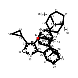 COC(=O)c1ccnc(N2[C@@H]3CC[C@H]2C[C@H](OCc2c(-c4ccccc4C(F)(F)F)noc2C2CC2)C3)c1